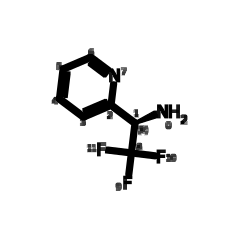 N[C@H](c1ccccn1)C(F)(F)F